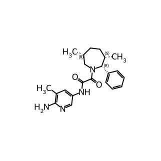 Cc1cc(NC(=O)C(=O)N2C[C@H](C)CC[C@H](C)[C@@H]2c2ccccc2)cnc1N